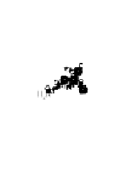 COCOc1cc(Cl)ccc1-c1cc(-c2cccc(NC(=O)CCOC(N)=O)c2)c(C#N)c(NC(=O)c2ccccc2)n1